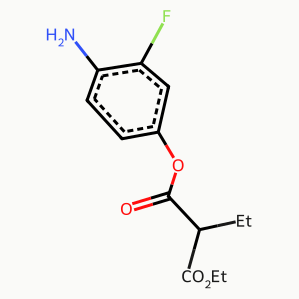 CCOC(=O)C(CC)C(=O)Oc1ccc(N)c(F)c1